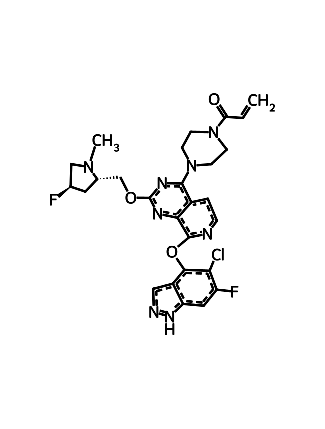 C=CC(=O)N1CCN(c2nc(OC[C@@H]3C[C@@H](F)CN3C)nc3c(Oc4c(Cl)c(F)cc5[nH]ncc45)nccc23)CC1